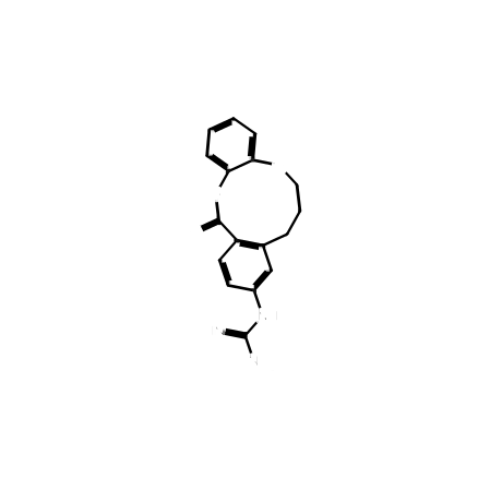 N=C(N)Nc1ccc2c(c1)CCCOc1ccccc1OC2=O